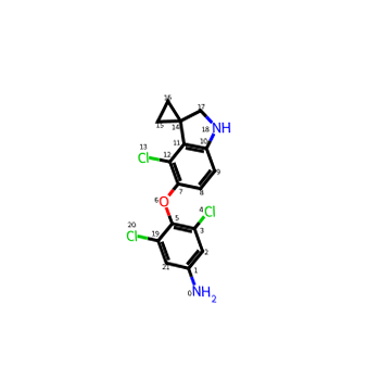 Nc1cc(Cl)c(Oc2ccc3c(c2Cl)C2(CC2)CN3)c(Cl)c1